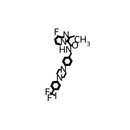 CCc1nc2c(F)cccn2c1C(=O)NCc1ccc(N2CCN(c3ccc(C(F)(F)I)cc3)CC2)cc1